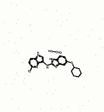 Clc1ccc2[nH]cc(Nc3nc4cc(OC5CCCCC5)ccc4[nH]3)c2n1.O=CO